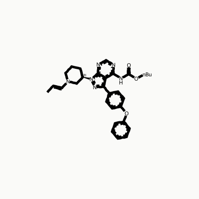 CC=CN1CCC[C@@H](n2nc(-c3ccc(Oc4ccccc4)cc3)c3c(NC(=O)OCCCC)ncnc32)C1